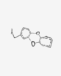 ICc1ccc2c(c1)Oc1ccccc1O2